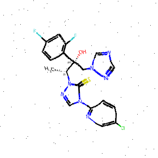 C[C@@H](n1ncn(-c2ccc(Cl)cn2)c1=S)[C@](O)(Cn1cncn1)c1ccc(F)cc1F